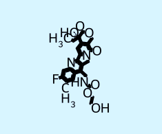 CC[C@@]1(O)C(=O)OCc2c1cc1n(c2=O)Cc2c-1nc1cc(F)c(C)cc1c2CNC(=O)OCCO